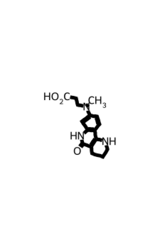 CN(CCC(=O)O)c1ccc2c3c(c(=O)[nH]c2c1)CCCN3